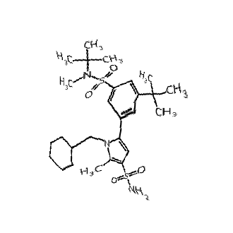 Cc1c(S(N)(=O)=O)cc(-c2cc(C(C)(C)C)cc(S(=O)(=O)N(C)C(C)(C)C)c2)n1CC1CCCCC1